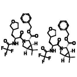 CC1(C)[C@@H]2[C@@H](C(=O)OCc3ccccc3)N(C(=O)[C@H](CC3CCOC3)NC(=O)C(F)(F)F)C[C@@H]21.CC1(C)[C@@H]2[C@@H](C(=O)OCc3ccccc3)N(C(=O)[C@H](CC3CCOC3)NC(=O)C(F)(F)F)C[C@@H]21